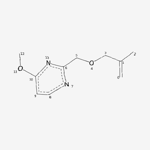 C=C(C)COCc1nccc(OC)n1